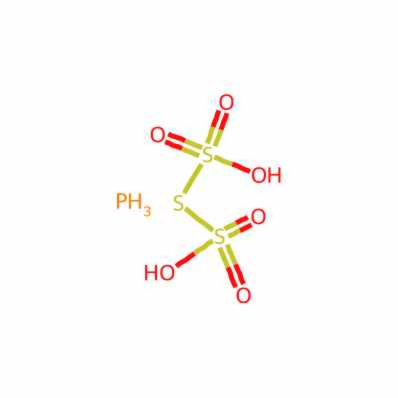 O=S(=O)(O)SS(=O)(=O)O.P